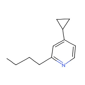 CCCCc1cc(C2CC2)ccn1